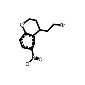 O=[N+]([O-])c1ccc2c(c1)C(CCBr)CCO2